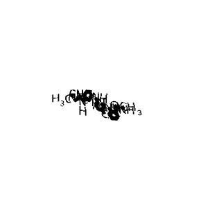 CNC(=O)c1ccccc1Nc1nc(Nc2ccc3nc(CN(C)C)[nH]c3c2)ncc1Cl